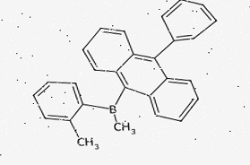 CB(c1ccccc1C)c1c2ccccc2c(-c2ccccc2)c2ccccc12